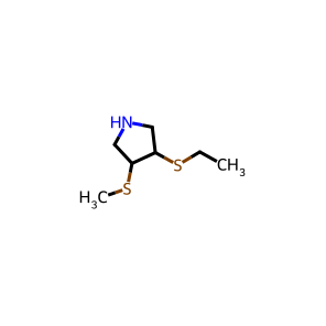 CCSC1CNCC1SC